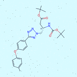 Cc1ccc(Oc2ccc(-c3nnn(C[C@H](CC(=O)OC(C)(C)C)NC(=O)OC(C)(C)C)n3)cc2)cc1